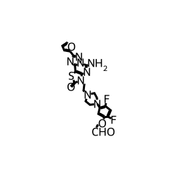 Nc1nc2c(sc(=O)n2CCN2CCN(c3cc(OCC=O)c(F)cc3F)CC2)c2nc(-c3ccco3)nn12